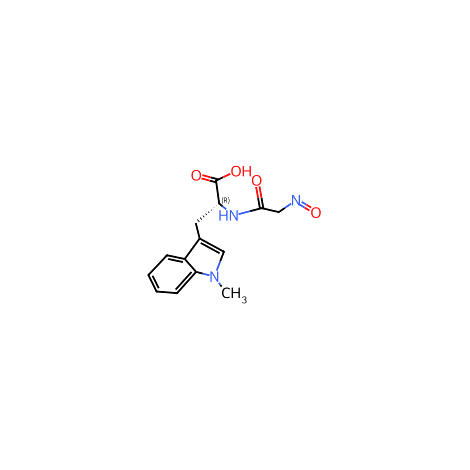 Cn1cc(C[C@@H](NC(=O)CN=O)C(=O)O)c2ccccc21